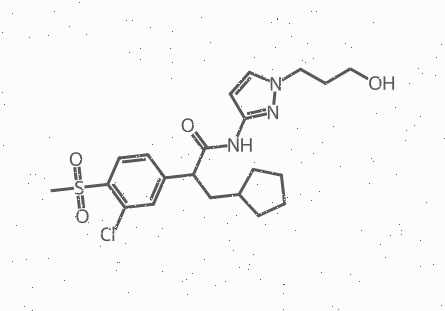 CS(=O)(=O)c1ccc(C(CC2CCCC2)C(=O)Nc2ccn(CCCO)n2)cc1Cl